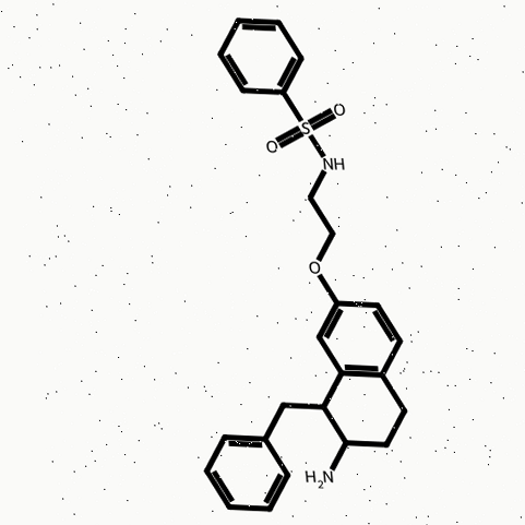 NC1CCc2ccc(OCCNS(=O)(=O)c3ccccc3)cc2C1Cc1ccccc1